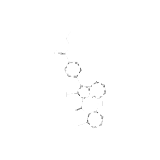 CCOC(=O)c1ccc(-c2c(F)c(C(=O)c3c(Cl)cccc3Cl)n3ccccc23)cc1